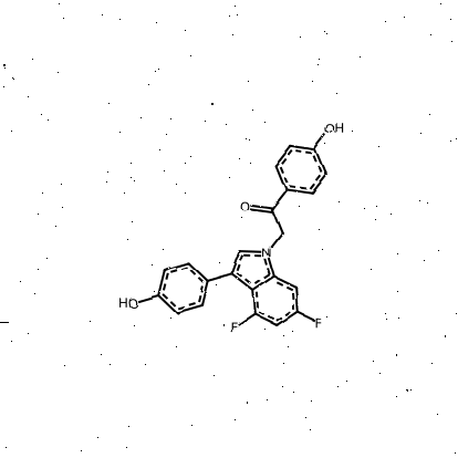 O=C(Cn1cc(-c2ccc(O)cc2)c2c(F)cc(F)cc21)c1ccc(O)cc1